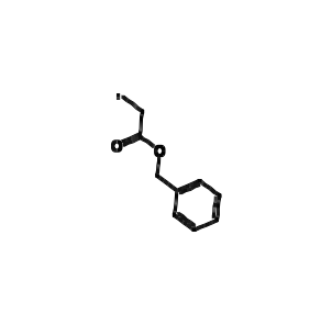 [CH]CC(=O)OCc1ccccc1